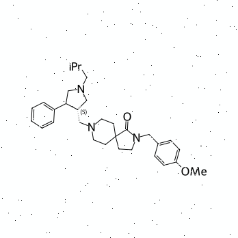 COc1ccc(CN2CCC3(CCN(C[C@H]4CN(CC(C)C)CC4c4ccccc4)CC3)C2=O)cc1